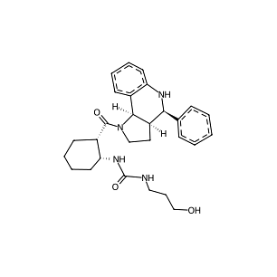 O=C(NCCCO)N[C@@H]1CCCC[C@@H]1C(=O)N1CC[C@@H]2[C@H](c3ccccc3)Nc3ccccc3[C@@H]21